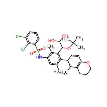 Cc1cc(NS(=O)(=O)c2cccc(Cl)c2Cl)c(C)c(C(OC(C)(C)C)C(O)O)c1C1C=CC2=C(CCCO2)C1C